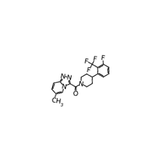 Cc1ccc2nnc(C(=O)N3CCC(c4cccc(F)c4C(F)(F)F)CC3)n2c1